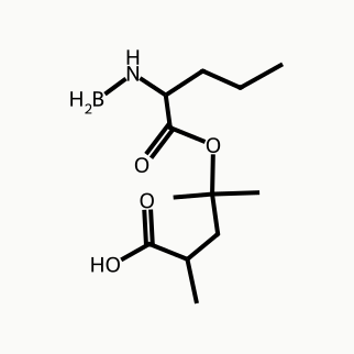 BNC(CCC)C(=O)OC(C)(C)CC(C)C(=O)O